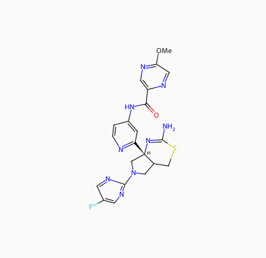 COc1cnc(C(=O)Nc2ccnc([C@]34CN(c5ncc(F)cn5)CC3CSC(N)=N4)c2)cn1